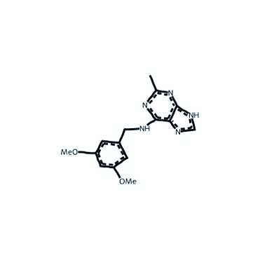 COc1cc(CNc2nc(C)nc3[nH]cnc23)cc(OC)c1